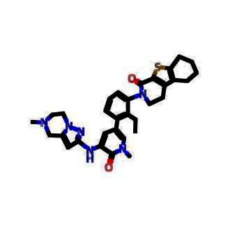 CCc1c(-c2cc(Nc3cc4n(n3)CCN(C)C4)c(=O)n(C)c2)cccc1N1CCc2c(sc3c2CCCC3)C1=O